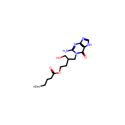 CCCCCCCCCCCCCC(=O)OCCC(CO)Cn1c(N)nc2nc[nH]c2c1=O